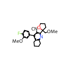 COCC1(c2nc3c(c(-c4ccc(F)c(OC)c4)c2C#N)CCCC3)CCCO1